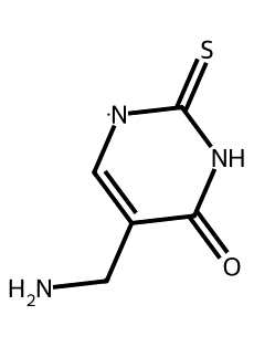 NCC1=C[N]C(=S)NC1=O